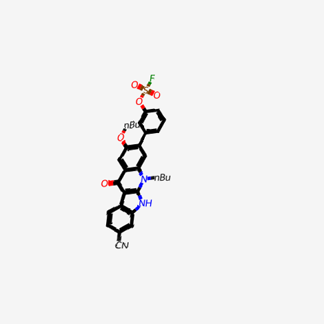 CCCCOc1cc2c(=O)c3c4ccc(C#N)cc4[nH]c3n(CCCC)c2cc1-c1cccc(OS(=O)(=O)F)c1